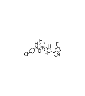 CC(C(=O)Nc1ccc(Cl)cc1)N1C[C@H]2C[C@@H](c3ccnc4ccc(F)cc34)C[C@H]2C1